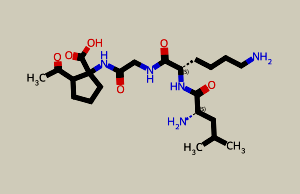 CC(=O)C1CCCC1(NC(=O)CNC(=O)[C@H](CCCCN)NC(=O)[C@@H](N)CC(C)C)C(=O)O